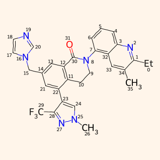 CCc1nc2cccc(N3CCc4c(cc(Cn5ccnc5)cc4-c4cn(C)nc4C(F)(F)F)C3=O)c2cc1C